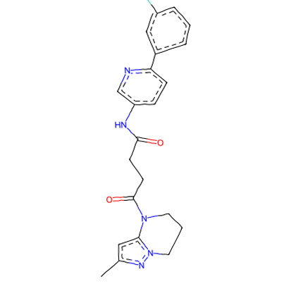 Cc1cc2n(n1)CCCN2C(=O)CCC(=O)Nc1ccc(-c2cccc(F)c2)nc1